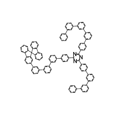 c1ccc(-c2cccc(-c3cccc(-c4ccc(-c5nc(-c6ccc(-c7cccc(-c8cccc(-c9cccc(-c%10ccccc%10)c9)c8)c7)cc6)nc(-c6ccc(-c7cccc(-c8cccc(-c9cccc(-c%10ccc%11c(c%10)C%10(c%12ccccc%12-c%12ccccc%12%10)c%10ccccc%10-%11)c9)c8)c7)cc6)n5)cc4)c3)c2)cc1